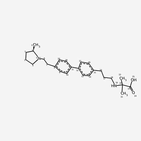 C[C@@H]1CCCN1CCc1ccc(-c2ccc(CCCNC(C)(C)C(=O)O)cc2)cc1